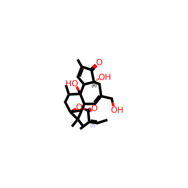 C/C=C(/C)C(=O)OC12CC(C)C3(O)C(C=C(CO)C[C@]4(O)C(=O)C(C)=CC34)C1C2(C)C